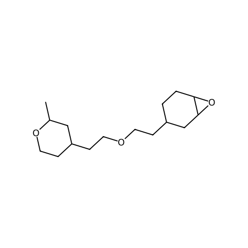 CC1CC(CCOCCC2CCC3OC3C2)CCO1